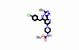 CC(C)(C)OC(=O)NC1CCN(c2cnc3c(c2)c(Cc2ccc(Cl)cc2)nn2c(C(C)(C)C)nnc32)CC1